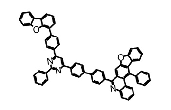 c1ccc(-c2nc(-c3ccc(-c4ccc(-c5nc6ccccc6c6c(-c7ccccc7)c7c(cc56)oc5ccccc57)cc4)cc3)cc(-c3ccc(-c4cccc5c4oc4ccccc45)cc3)n2)cc1